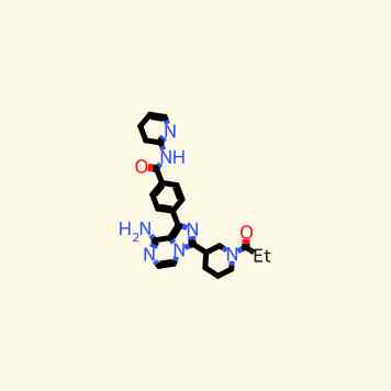 CCC(=O)N1CCCC(c2nc(-c3ccc(C(=O)NC4=NC=CCC4)cc3)c3c(N)nccn23)C1